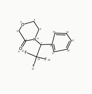 O=C1COCCN1C(c1ccccc1)C(F)(F)F